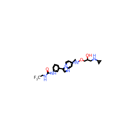 O=C(NCC(F)(F)F)Nc1cccc(-c2cnc3cc(CNOCC(O)CNC4CC4)ccn23)c1